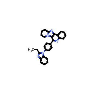 CCc1nc2ccccc2n1-c1ccc(-c2nc3ccccc3c3nc4ccccn4c23)cc1